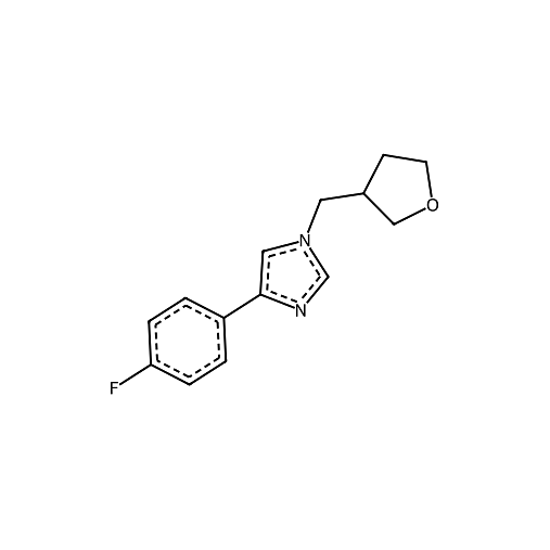 Fc1ccc(-c2cn(CC3CCOC3)cn2)cc1